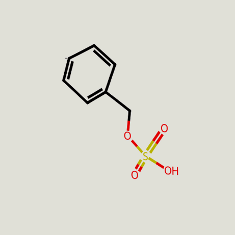 O=S(=O)(O)OCc1cc[c]cc1